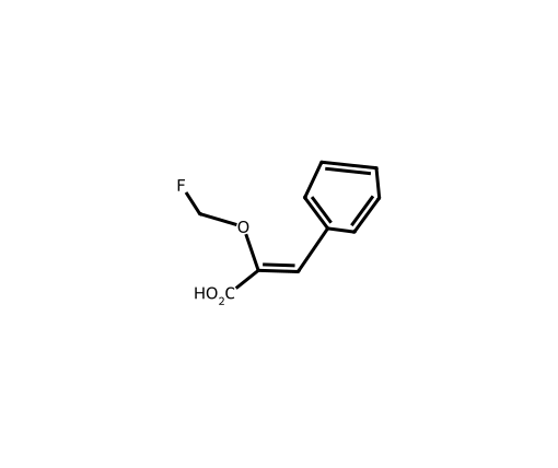 O=C(O)C(=Cc1ccccc1)OCF